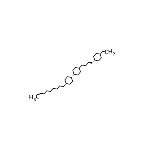 C=C[C@H]1CC[C@H](/C=C/CCC2CCC([C@H]3CC[C@H](CCCCCCCCC)CC3)CC2)CC1